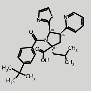 CC(C)C[C@@]1(C(=O)O)C[C@H](c2ccccn2)[C@H](c2nccs2)N1C(=O)c1ccc(C(C)(C)C)cc1